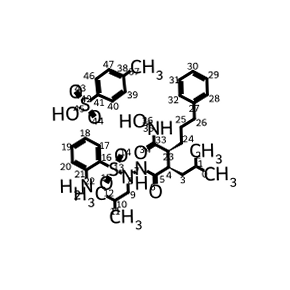 CC(C)C[C@@H](C(=O)NN(CC(C)C)S(=O)(=O)c1ccccc1N)[C@H](CCCc1ccccc1)C(=O)NO.Cc1ccc(S(=O)(=O)O)cc1